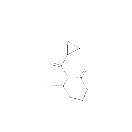 O=C1CCCC(=O)N1C(=O)C1CC1